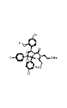 COCCN(CCOC)C(=O)N1C(c2ccc(C(C)(C)C)cc2OC(C)C)=N[C@@](C)(c2ccc(Cl)cc2)[C@@]1(C)c1ccc(Cl)cc1